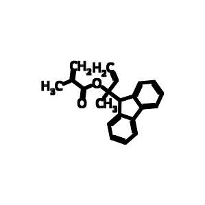 C=CC(C)(OC(=O)C(=C)C)C1c2ccccc2-c2ccccc21